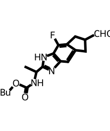 CC(NC(=O)OC(C)(C)C)c1nc2cc3c(c(F)c2[nH]1)CC(C=O)C3